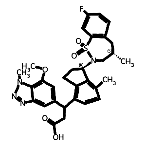 COc1cc(C(CC(=O)O)c2ccc(C)c3c2CC[C@H]3N2C[C@@H](C)Cc3ccc(F)cc3S2(=O)=O)cc2nnn(C)c12